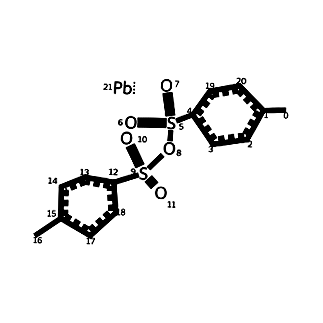 Cc1ccc(S(=O)(=O)OS(=O)(=O)c2ccc(C)cc2)cc1.[Pb]